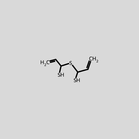 C=CC(S)SC(S)C=C